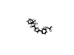 CC(=O)Nc1cccc(-c2cnc(C(=O)N[C@H]3CN4CCC3CC4)s2)c1